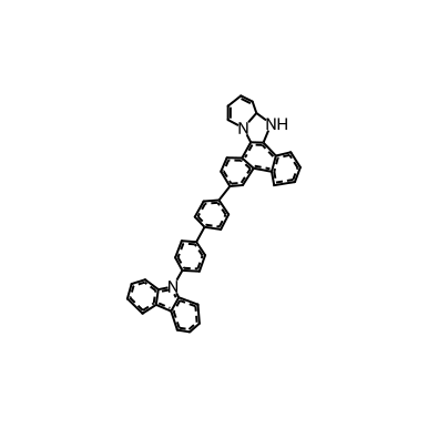 C1=CC2Nc3c(c4ccc(-c5ccc(-c6ccc(-n7c8ccccc8c8ccccc87)cc6)cc5)cc4c4ccccc34)N2C=C1